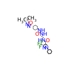 CC(C)c1nnc([C@H]2CC[C@H](NC(=O)NCCNC(=O)c3cn(-c4ccccc4)nc3C(F)(F)F)CC2)o1